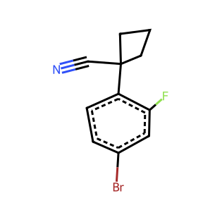 N#CC1(c2ccc(Br)cc2F)CCC1